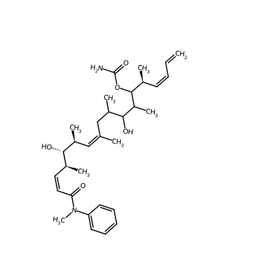 C=C/C=C\[C@H](C)C(OC(N)=O)C(C)C(O)C(C)C/C(C)=C\[C@H](C)[C@@H](O)[C@@H](C)/C=C\C(=O)N(C)c1ccccc1